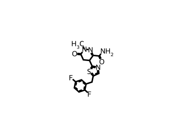 CN1N=C(C(N)=O)C(c2ncc(Cc3cc(F)ccc3F)s2)CC1=O